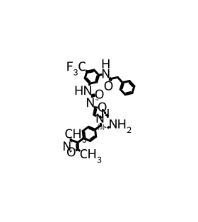 Cc1noc(C)c1-c1ccc([C@@H](CN)[n+]2cc([N-]C(=O)Nc3cc(NC(=O)Cc4ccccc4)cc(C(F)(F)F)c3)on2)cc1